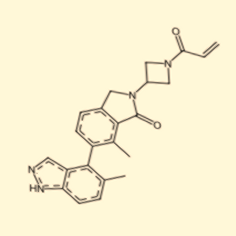 C=CC(=O)N1CC(N2Cc3ccc(-c4c(C)ccc5[nH]ncc45)c(C)c3C2=O)C1